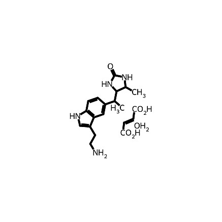 CC1NC(=O)NC1C(C)c1ccc2[nH]cc(CCN)c2c1.O.O=C(O)C=CC(=O)O